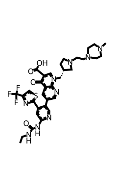 CCNC(=O)Nc1cc(-c2nc(C(F)(F)F)cs2)c(-c2cnc3c(c2)c(=O)c(C(=O)O)cn3C[C@@H]2CCN(CCN3CCN(C)CC3)C2)cn1